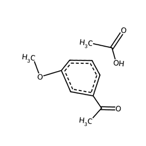 CC(=O)O.COc1cccc(C(C)=O)c1